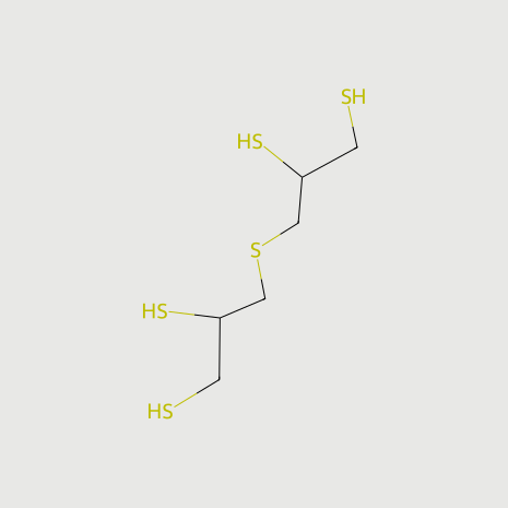 SCC(S)CSCC(S)CS